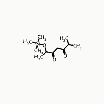 CC(C)C(=O)CC(=O)C(C)O[Si](C)(C)C